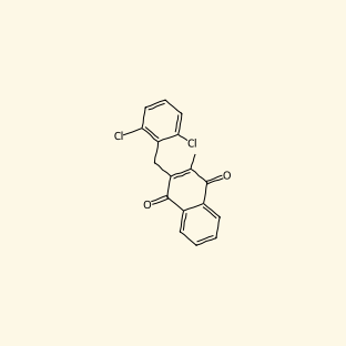 CC1=C(Cc2c(Cl)cccc2Cl)C(=O)c2ccccc2C1=O